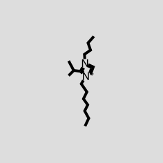 CCCCCCC[n+]1ccn(CCCC)c1C(C)C